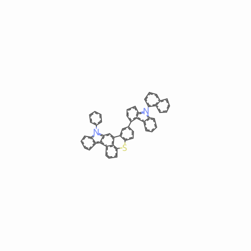 c1ccc(-n2c3ccccc3c3c4cccc5c4c(cc32)-c2cc(-c3cccc4c3c3ccccc3n4-c3cccc4ccccc34)ccc2S5)cc1